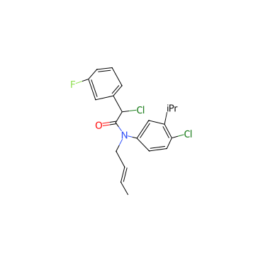 CC=CCN(C(=O)C(Cl)c1cccc(F)c1)c1ccc(Cl)c(C(C)C)c1